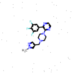 Cn1cc(CN2CCN(c3nccnc3-c3cc(F)c(F)c(F)c3)CC2)cn1